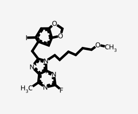 COCCCCCCn1c(Cc2cc3c(cc2I)OCO3)nc2c(C)nc(F)nc21